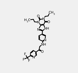 CCCn1c(=O)c2[nH]c(-c3ccc(NCC(=O)c4ccc(C(F)(F)F)nc4)nc3)nc2n(CCC)c1=O